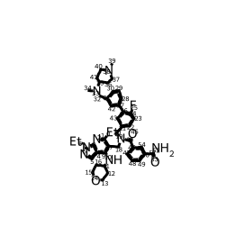 CCc1nc2c(cnn2CC)c(NC2CCOCC2)c1CN(Cc1ccc(F)c(-c2cccc(CN(C)C3CCN(C)CC3)c2)c1)C(=O)c1cccc(C(N)=O)c1